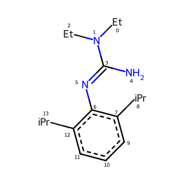 CCN(CC)C(N)=Nc1c(C(C)C)cccc1C(C)C